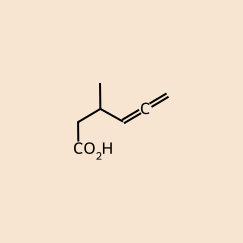 C=C=CC(C)CC(=O)O